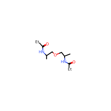 CCC(=O)NC(C)COCC(C)NC(=O)CC